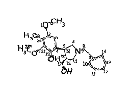 COc1cc([C@H]2CN(Cc3ccccc3)C[C@H]2CO)c(O)c(OC)c1C